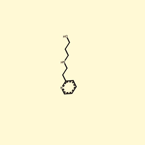 OCCCNCCc1ccccn1